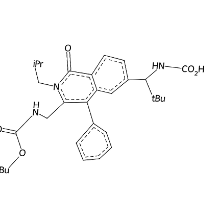 CC(C)Cn1c(CNC(=O)OC(C)(C)C)c(-c2ccccc2)c2cc(C(NC(=O)O)C(C)(C)C)ccc2c1=O